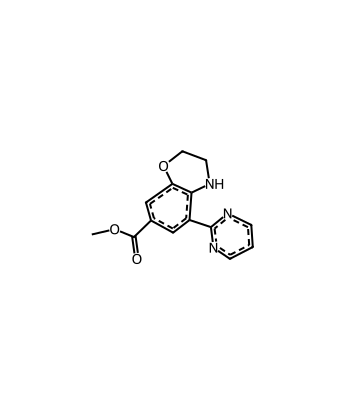 COC(=O)c1cc2c(c(-c3ncccn3)c1)NCCO2